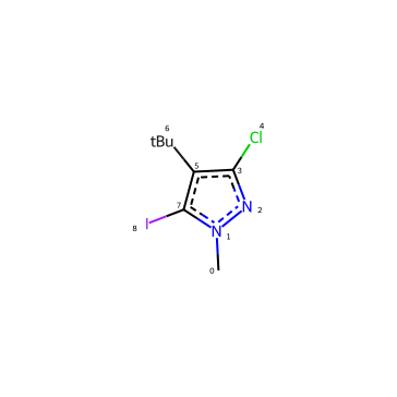 Cn1nc(Cl)c(C(C)(C)C)c1I